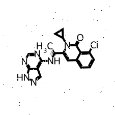 C[C@H](Nc1ncnc2[nH]ncc12)c1cc2cccc(Cl)c2c(=O)n1C1CC1